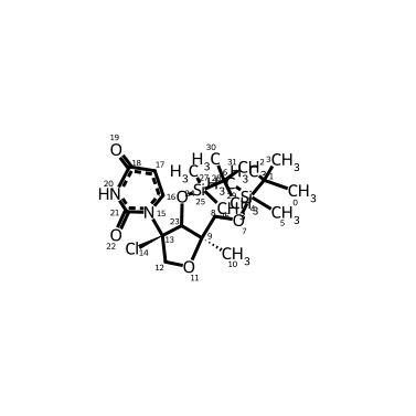 CC(C)(C)[Si](C)(C)OC[C@@]1(C)OC[C@](Cl)(n2ccc(=O)[nH]c2=O)C1O[Si](C)(C)C(C)(C)C